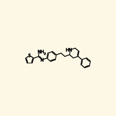 NC(=Nc1ccc(CCC2CC(c3ccccc3)=CCN2)cc1)c1cccs1